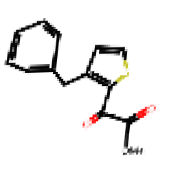 COC(=O)C(=O)c1sccc1Cc1ccccc1